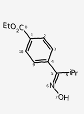 CCOC(=O)c1ccc(/C(=N/O)C(C)C)cc1